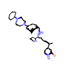 C/C(=C\C=C(\Nc1ccc(N2CCN(C3CCCCC3)CC2)cc1)C1=NC=CC1)c1cc[nH]c(=O)c1